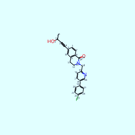 CC(O)C#Cc1ccc2c(c1)CCN(Cc1ccc(-c3ccc(F)cc3)cn1)C2=O